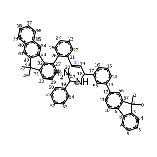 CC1(C)c2ccccc2-c2ccc(-c3cccc(C(/C=C/c4ccccc4-c4cccc5c4-c4cc6ccccc6cc4C5(C)C)NC(N)c4ccccc4)c3)cc21